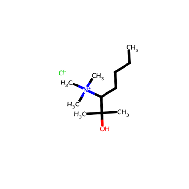 CCCCC(C(C)(C)O)[N+](C)(C)C.[Cl-]